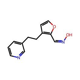 O/N=C\c1occc1CCc1cccnc1